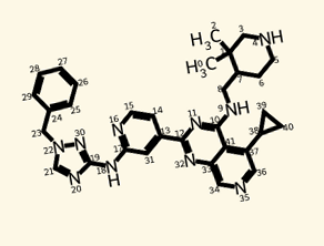 CC1(C)CNCCC1CNc1nc(-c2ccnc(Nc3ncn(Cc4ccccc4)n3)c2)nc2cncc(C3CC3)c12